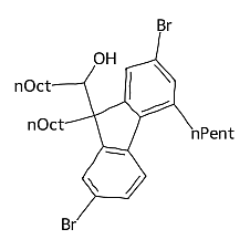 CCCCCCCCC(O)C1(CCCCCCCC)c2cc(Br)ccc2-c2c(CCCCC)cc(Br)cc21